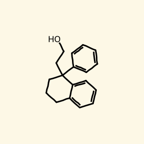 OCCC1(c2ccccc2)CCCc2ccccc21